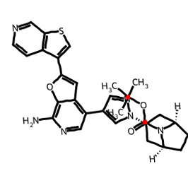 CC(C)(C)OC(=O)N1[C@@H]2CC[C@H]1C[C@H](n1cc(-c3cnc(N)c4oc(-c5csc6cnccc56)cc34)cn1)C2